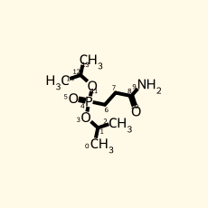 CC(C)OP(=O)(CCC(N)=O)OC(C)C